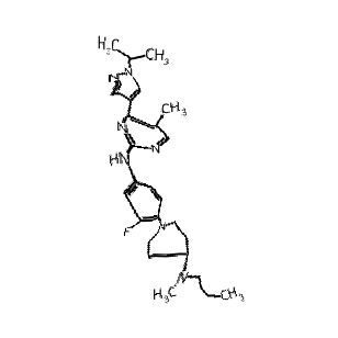 CCCN(C)C1CCN(c2ccc(Nc3ncc(C)c(-c4cnn(C(C)C)c4)n3)cc2F)CC1